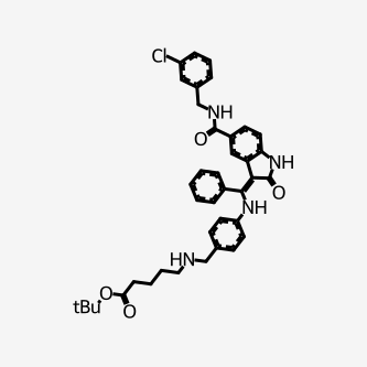 CC(C)(C)OC(=O)CCCCNCc1ccc(N/C(=C2\C(=O)Nc3ccc(C(=O)NCc4cccc(Cl)c4)cc32)c2ccccc2)cc1